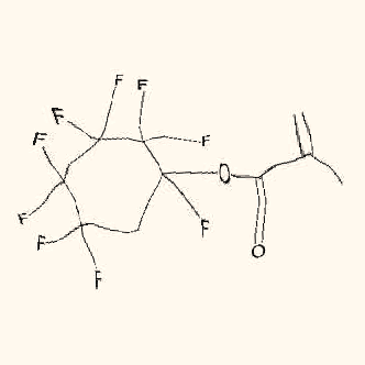 C=C(C)C(=O)OC1(F)CC(F)(F)C(F)(F)C(F)(F)C1(F)F